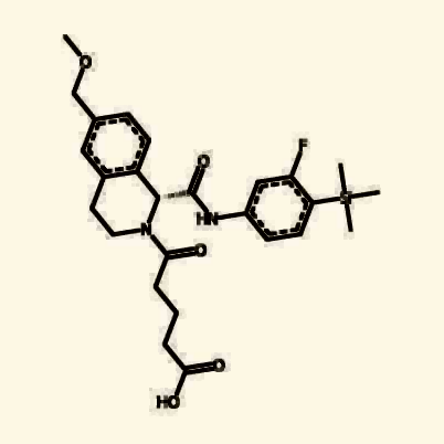 COCc1ccc2c(c1)CCN(C(=O)CCCC(=O)O)[C@H]2C(=O)Nc1ccc([Si](C)(C)C)c(F)c1